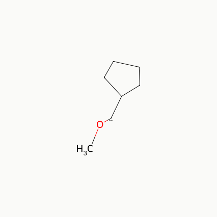 CO[C]C1CCCC1